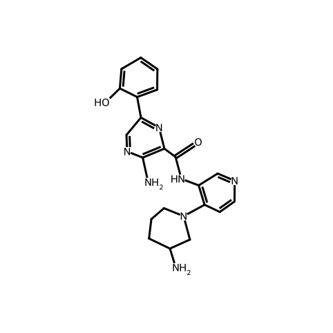 Nc1ncc(-c2ccccc2O)nc1C(=O)Nc1cnccc1N1CCCC(N)C1